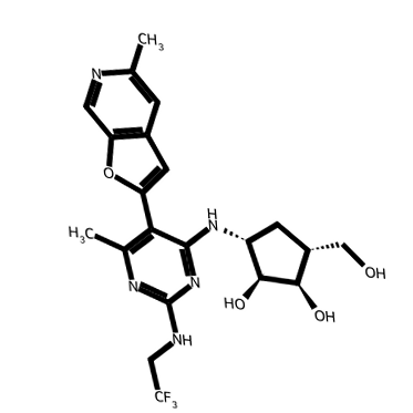 Cc1cc2cc(-c3c(C)nc(NCC(F)(F)F)nc3N[C@@H]3C[C@H](CO)[C@@H](O)[C@H]3O)oc2cn1